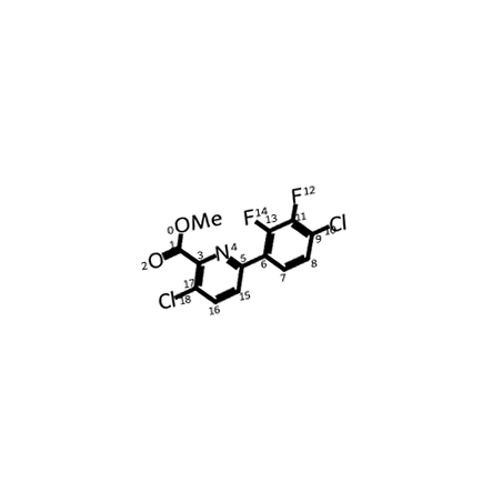 COC(=O)c1nc(-c2ccc(Cl)c(F)c2F)ccc1Cl